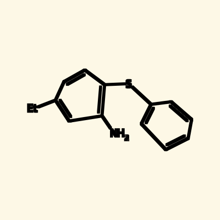 CCc1ccc(Sc2ccccc2)c(N)c1